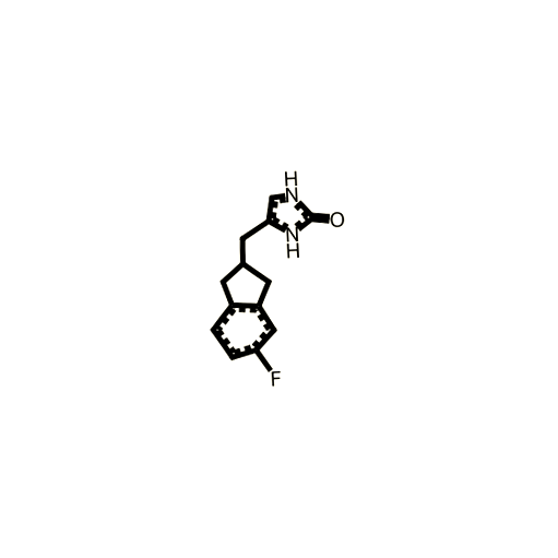 O=c1[nH]cc(CC2Cc3ccc(F)cc3C2)[nH]1